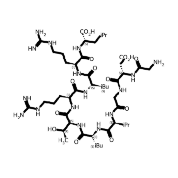 CC[C@H](C)[C@H](NC(=O)[C@H](CCCNC(=N)N)NC(=O)[C@@H](NC(=O)[C@@H](NC(=O)[C@@H](NC(=O)CNC(=O)[C@H](CC(=O)O)NC(=O)CN)C(C)C)[C@@H](C)CC)[C@@H](C)O)C(=O)N[C@@H](CCCNC(=N)N)C(=O)N[C@@H](CC(C)C)C(=O)O